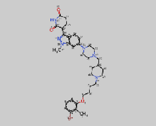 Cc1c(Br)cccc1OCCCCN1CCC(CN2CCN(c3ccc4c(C5CCC(=O)NC5=O)nn(C)c4c3)CC2)CC1